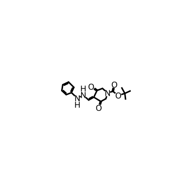 CC(C)(C)OC(=O)N1CC(=O)C(=CNNc2ccccc2)C(=O)C1